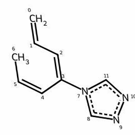 C=C/C=C(\C=C/C)n1cnnc1